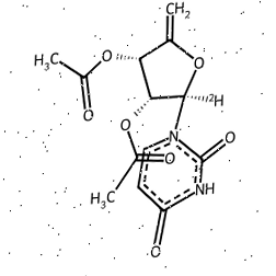 [2H][C@@]1(n2ccc(=O)[nH]c2=O)OC(=C)[C@@H](OC(C)=O)[C@H]1OC(C)=O